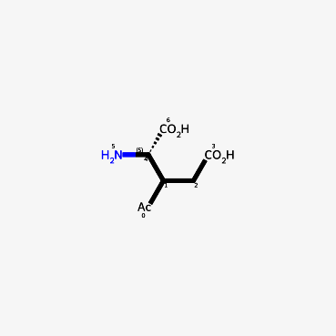 CC(=O)C(CC(=O)O)[C@H](N)C(=O)O